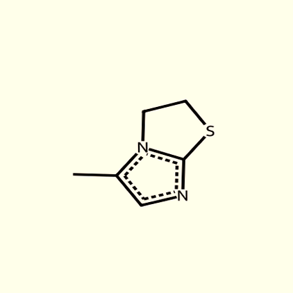 Cc1cnc2n1CCS2